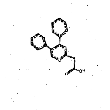 O=C(O)Cc1ncc(-c2ccccc2)c(-c2ccccc2)n1